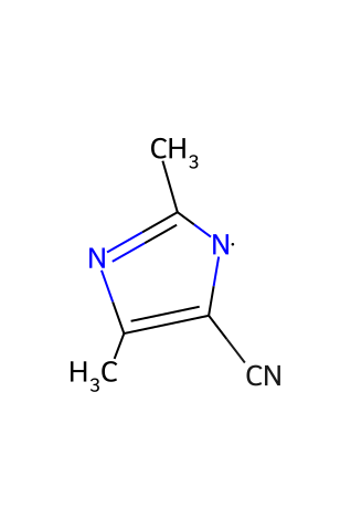 CC1=NC(C)=C(C#N)[N]1